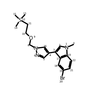 Cn1cc(-c2cnn(COCCS(C)(C)C)c2)c2cc(Br)ccc21